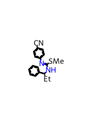 CC[C@H](N/C(=N/c1ccc(C#N)cc1)SC)c1ccccc1